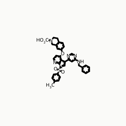 Cc1ccc(S(=O)(=O)n2cc(-c3cc(NCc4ccccc4)ncn3)c3c(Oc4ccc5c(c4)CN(C(=O)O)CC5)ccnc32)cc1